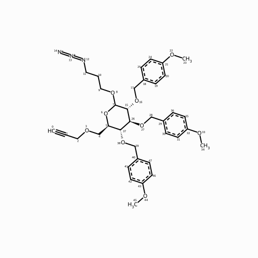 C#CCOC[C@H]1OC(OCCCN=[N+]=[N-])[C@H](OCc2ccc(OC)cc2)[C@@H](OCc2ccc(OC)cc2)[C@@H]1OCc1ccc(OC)cc1